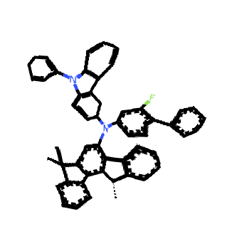 C[C@H]1c2ccccc2-c2c(N(c3ccc(-c4ccccc4)c(F)c3)C3C=CC4=C(C3)C3C=CC=CC3N4C3=CCCC=C3)cc3c(c21)-c1ccccc1C3(C)C